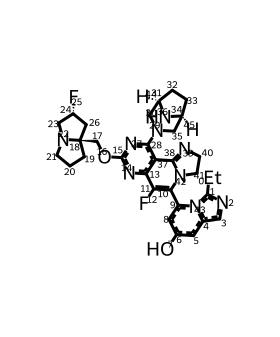 CCc1ncc2cc(O)cc(C3=C(F)c4nc(OC[C@@]56CCCN5C[C@H](F)C6)nc(N5C[C@H]6CC[C@@H](C5)N6)c4C4=NCCN43)n12